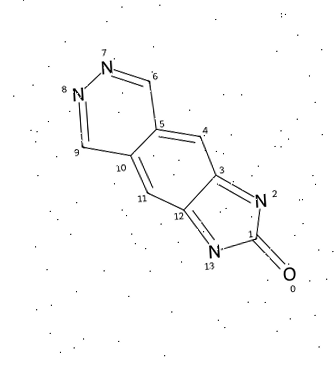 O=C1N=c2cc3cnncc3cc2=N1